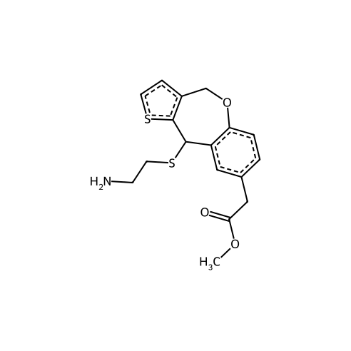 COC(=O)Cc1ccc2c(c1)C(SCCN)c1sccc1CO2